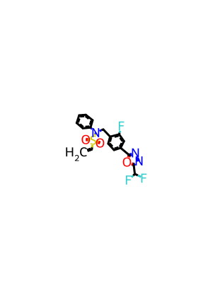 C=CS(=O)(=O)N(Cc1ccc(-c2nnc(C(F)F)o2)cc1F)c1ccccc1